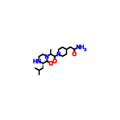 CC(C)C[C@@H]1NCCN(C(C)C(=O)N2CCC(CC(N)=O)CC2)C1=O